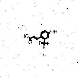 O=C(O)/C=C/c1ccc(O)cc1C(F)(F)F